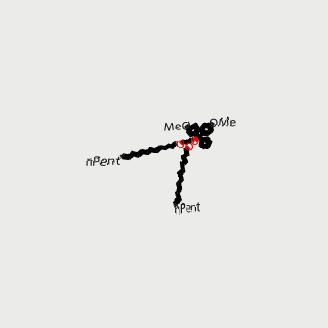 CCCCCC=CCC=CCCCCCCCCOCC(COC(c1ccccc1)(c1ccc(OC)cc1)c1ccc(OC)cc1)OCCCCCCCCC=CCC=CCCCCC